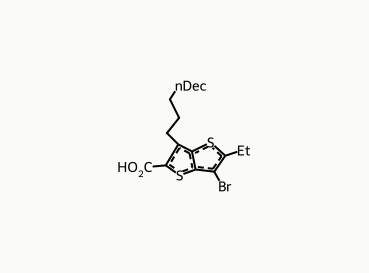 CCCCCCCCCCCCCc1c(C(=O)O)sc2c(Br)c(CC)sc12